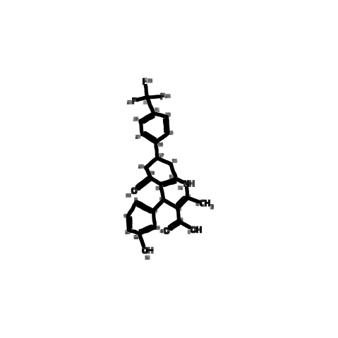 CC1=C(C(=O)O)C(c2cccc(O)c2)C2=C(CC(c3ccc(C(F)(F)F)cc3)CC2=O)N1